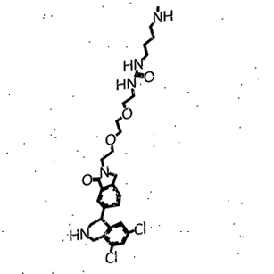 CNCCCCNC(=O)NCCOCCOCCN1Cc2ccc(C3CNCc4c(Cl)cc(Cl)cc43)cc2C1=O